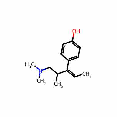 C/C=C(\c1ccc(O)cc1)C(C)CN(C)C